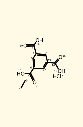 CC.Cl.O=C(O)c1cc(C(=O)O)cc(C(=O)O)c1